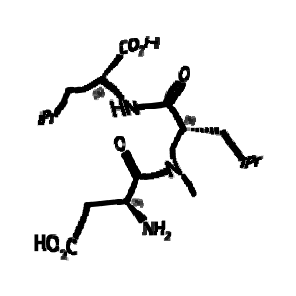 CC(C)C[C@H](NC(=O)[C@H](CC(C)C)N(C)C(=O)[C@@H](N)CC(=O)O)C(=O)O